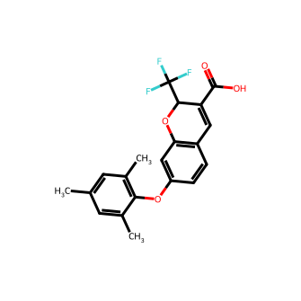 Cc1cc(C)c(Oc2ccc3c(c2)OC(C(F)(F)F)C(C(=O)O)=C3)c(C)c1